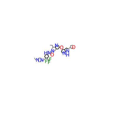 CCC1CN(C(=O)Nc2ccc(CN3CCN(CC)CC3)c(C(F)(F)F)c2)Cc2cc(Oc3ccnc4[nH]c(C5CCOC5)cc34)cnc21